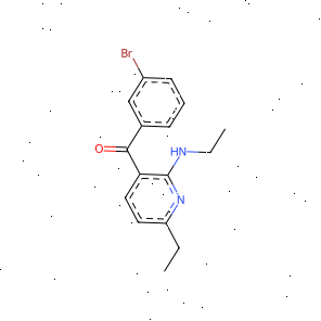 CCNc1nc(CC)ccc1C(=O)c1cccc(Br)c1